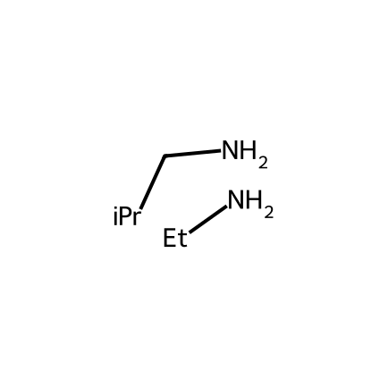 CC(C)CN.CCN